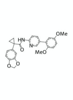 COc1ccc(OC)c(-c2ccc(NC(=O)C3(c4ccc5c(c4)OCO5)CC3)nc2)c1